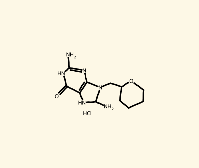 Cl.Nc1nc2c(c(=O)[nH]1)NC(N)N2CC1CCCCO1